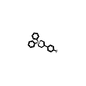 Fc1ccc(C2=CC[Si](c3ccccc3)(c3ccccc3)CC2)cc1